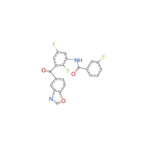 O=C(Nc1cc(F)cc(C(=O)c2ccc3ocnc3c2)c1F)c1cccc(F)c1